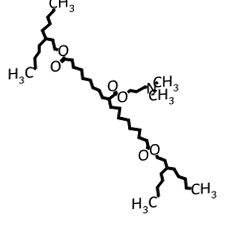 CCCCCC(CCCCC)CCOC(=O)CCCCCCCCC(CCCCCCCCC(=O)OCCC(CCCCC)CCCCC)C(=O)OCCCN(C)C